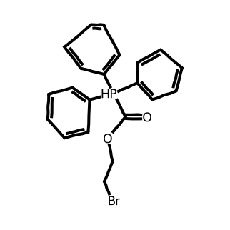 O=C(OCCBr)[PH](c1ccccc1)(c1ccccc1)c1ccccc1